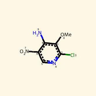 COc1c(Cl)ncc([N+](=O)[O-])c1N